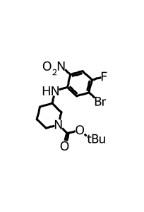 CC(C)(C)OC(=O)N1CCCC(Nc2cc(Br)c(F)cc2[N+](=O)[O-])C1